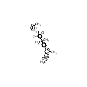 CCS(=O)(=O)C[C@@H](COc1ccc(C(C)(C)c2cc(Cl)c(OC[C@H](CCl)OC(C)=O)c(Cl)c2)cc1)OC(C)=O